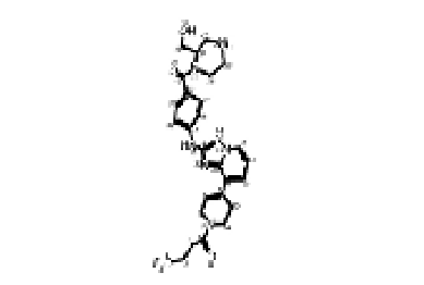 O=C(CCC(F)(F)F)N1CC=C(c2cccn3nc(Nc4ccc(C(=O)N5CCNCC5CO)cc4)nc23)CC1